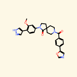 COc1cc(N2CCC3(CCN(C(=O)c4ccc(-c5cnco5)cc4)CC3)C2=O)ccc1-c1cn[nH]c1